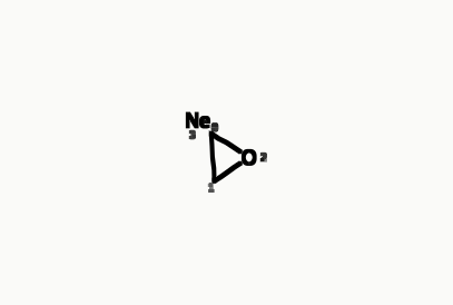 C1CO1.[Ne]